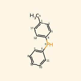 Cc1ccc(Pc2cc[c]cc2)cc1